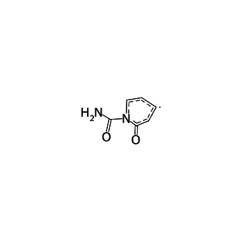 NC(=O)n1cc[c]cc1=O